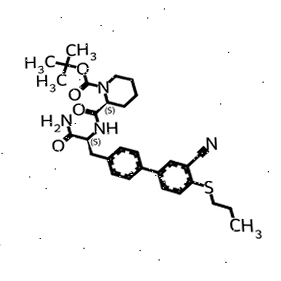 CCCSc1ccc(-c2ccc(C[C@H](NC(=O)[C@@H]3CCCCN3C(=O)OC(C)(C)C)C(N)=O)cc2)cc1C#N